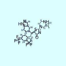 O=C1N=C(N2CCNC3(CC3)C2)SC1=C(Cc1ccc(C(F)(F)F)cc1C(F)(F)F)c1ccc2[nH]ncc2c1